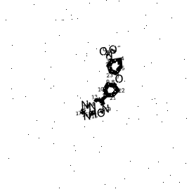 O=[N+]([O-])c1ccc(Oc2ccc(C(Cn3cncn3)=NO)cc2)cc1